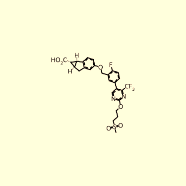 CS(=O)(=O)CCCOc1ncc(-c2ccc(F)c(COc3ccc4c(c3)C[C@H]3[C@H](C(=O)O)[C@@H]43)c2)c(C(F)(F)F)n1